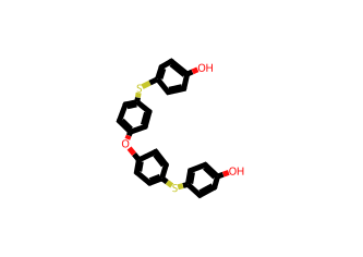 Oc1ccc(Sc2ccc(Oc3ccc(Sc4ccc(O)cc4)cc3)cc2)cc1